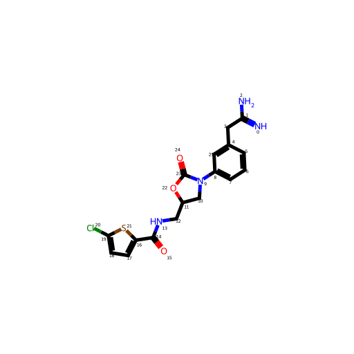 N=C(N)Cc1cccc(N2CC(CNC(=O)c3ccc(Cl)s3)OC2=O)c1